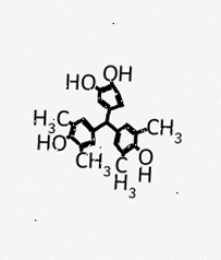 Cc1cc(C(c2cc(C)c(O)c(C)c2)c2ccc(O)c(O)c2)cc(C)c1O